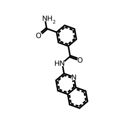 NC(=O)c1cccc(C(=O)Nc2ccc3ccccc3n2)c1